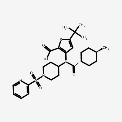 CC(C)(C)c1cc(N(C(=O)[C@H]2CC[C@H](C)CC2)C2CCN(S(=O)(=O)c3ccccn3)CC2)c(C(=O)O)s1